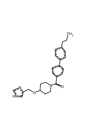 CCCc1ccc(-c2ccc(C(=O)N3CCC(OCc4c[nH]cn4)CC3)cc2)cc1